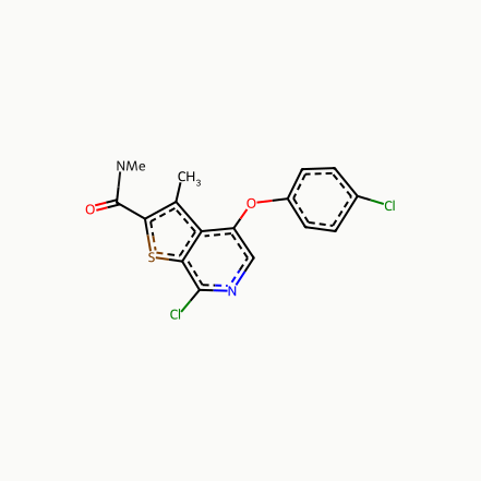 CNC(=O)c1sc2c(Cl)ncc(Oc3ccc(Cl)cc3)c2c1C